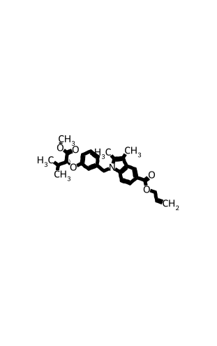 C=CCOC(=O)c1ccc2c(c1)c(C)c(C)n2Cc1cccc(O[C@H](C(=O)OC)C(C)C)c1